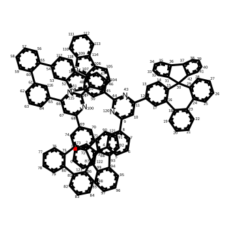 c1ccc(-c2cccc(-c3cc(-c4ccc5c(c4)-c4ccccc4-c4ccccc4C54c5ccccc5-c5ccccc54)nc(-c4ccc5c(c4)oc4cc(-c6ccccc6-c6cccc(-c7cc(-c8ccc9c(c8)-c8ccccc8-c8ccccc8C98c9ccccc9-c9ccccc98)nc(-c8cccc9c8oc8ccccc89)n7)c6)ccc45)n3)c2)cc1